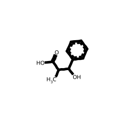 CC(C(=O)O)C(O)c1ccccc1